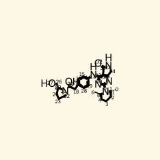 C[C@@H]1CCC[C@@H](C)N1c1nc2c(c(Nc3ccc(CC(O)N4CCC[C@H]4CO)cc3)n1)C(=O)NC2